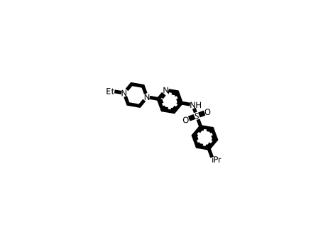 CCN1CCN(c2ccc(NS(=O)(=O)c3ccc(C(C)C)cc3)cn2)CC1